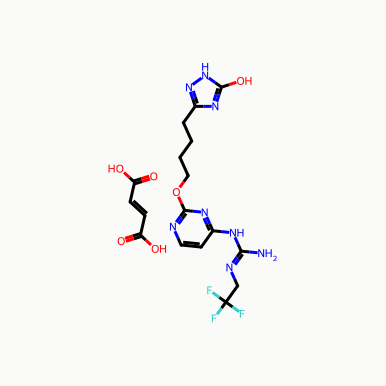 NC(=NCC(F)(F)F)Nc1ccnc(OCCCCc2n[nH]c(O)n2)n1.O=C(O)C=CC(=O)O